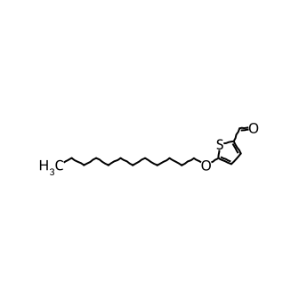 CCCCCCCCCCCCOc1ccc(C=O)s1